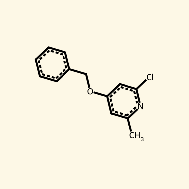 Cc1cc(OCc2ccccc2)cc(Cl)n1